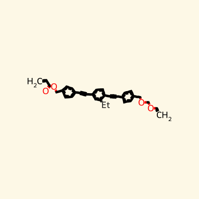 C=COCOCc1ccc(C#Cc2ccc(C#Cc3ccc(COC(=O)C=C)cc3)cc2CC)cc1